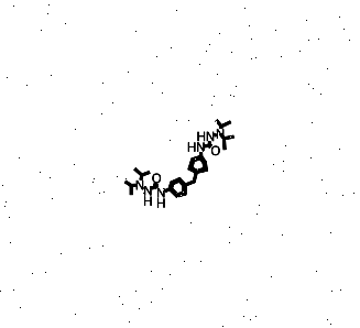 CC(C)N(NC(=O)Nc1ccc(Cc2ccc(NC(=O)NN(C(C)C)C(C)C)cc2)cc1)C(C)C